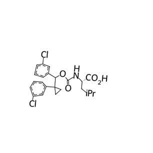 CC(C)C[C@H](NC(=O)OC(c1cccc(Cl)c1)C1(c2cccc(Cl)c2)CC1)C(=O)O